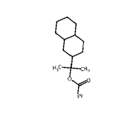 CC(C)C(=O)OC(C)(C)C1CCC2CCCCC2C1